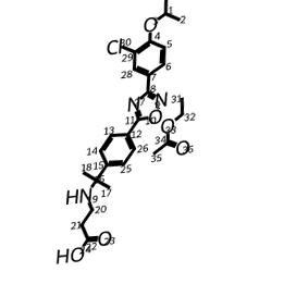 CC(C)Oc1ccc(-c2noc(-c3ccc(C(C)(C)NCCC(=O)O)cc3)n2)cc1Cl.CCOC(C)=O